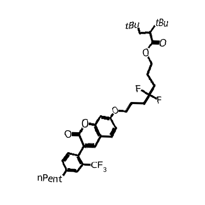 CCCCCc1ccc(-c2cc3ccc(OCCCC(F)(F)CCCOC(=O)C(CC(C)(C)C)C(C)(C)C)cc3oc2=O)c(C(F)(F)F)c1